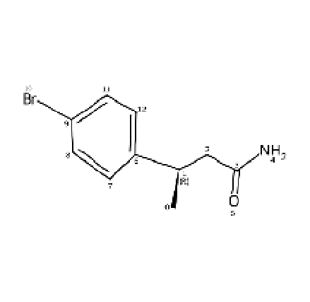 C[C@H](CC(N)=O)c1ccc(Br)cc1